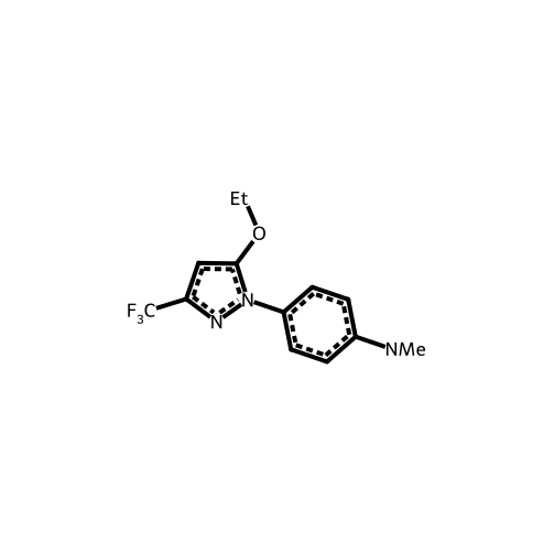 CCOc1cc(C(F)(F)F)nn1-c1ccc(NC)cc1